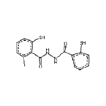 Cc1cccc(S)c1C(=O)NNC(=O)c1ccccc1S